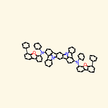 c1ccc(-c2cccc3c2oc2c(N(c4ccccc4)c4ccc5c6cc7c(cc6n6c8ccccc8c4c56)c4ccc(N(c5ccccc5)c5cccc6c5oc5c(-c8ccccc8)cccc56)c5c6ccccc6n7c45)cccc23)cc1